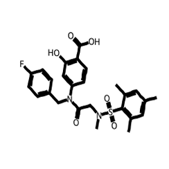 Cc1cc(C)c(S(=O)(=O)N(C)CC(=O)N(Cc2ccc(F)cc2)c2ccc(C(=O)O)c(O)c2)c(C)c1